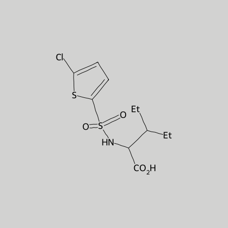 CCC(CC)C(NS(=O)(=O)c1ccc(Cl)s1)C(=O)O